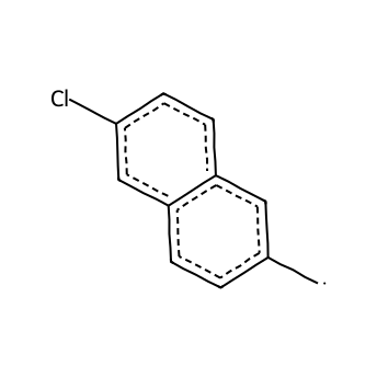 [CH2]c1ccc2cc(Cl)ccc2c1